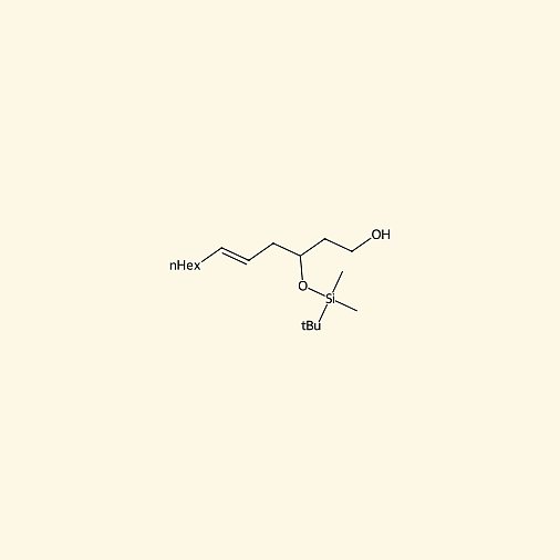 CCCCCCC=CCC(CCO)O[Si](C)(C)C(C)(C)C